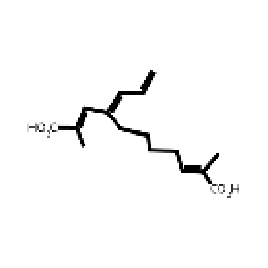 C=CC=C(C=C(C)C(=O)O)CCCCC=C(C)C(=O)O